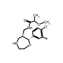 COC(C)C(=O)NC[C@@H]1CNCCO[C@H]1c1ccc(Cl)c(F)c1